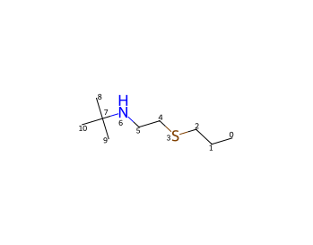 CCCSCCNC(C)(C)C